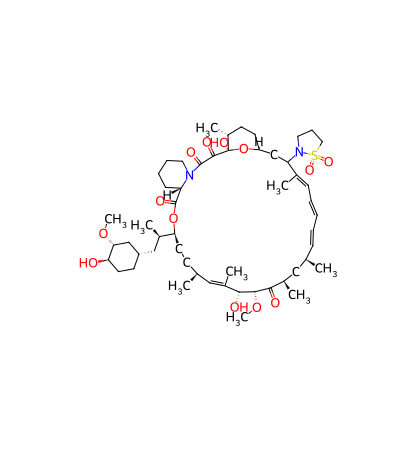 CO[C@@H]1C[C@H](C[C@@H](C)[C@@H]2CC[C@H](C)/C=C(\C)[C@@H](O)[C@@H](OC)C(=O)[C@H](C)C[C@H](C)/C=C/C=C/C=C(\C)C(N3CCCS3(=O)=O)C[C@@H]3CC[C@@H](C)[C@@](O)(O3)C(=O)C(=O)N3CCCC[C@H]3C(=O)O2)CC[C@H]1O